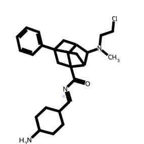 CN(CCCl)C1C2CC3(c4ccccc4)CC1C(C(=O)/N=C/C1CCC(N)CC1)(C2)C3